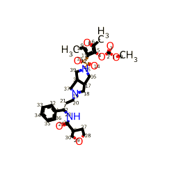 COC(=O)Oc1c(C)oc(C)c1S(=O)(=O)N1CC2CN(CC[C@H](NC(=O)C3CCOC3)c3ccccc3)CC2C1